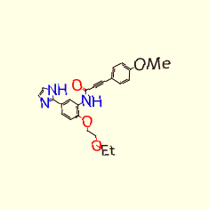 CCOCCOc1ccc(-c2ncc[nH]2)cc1NC(=O)C#Cc1ccc(OC)cc1